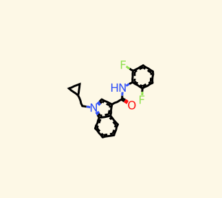 O=C(Nc1c(F)cccc1F)c1cn(CC2CC2)c2ccccc12